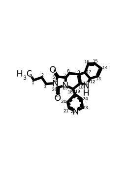 CCCCN1C(=O)C2CC3=C(NC4C=CC=CC34)C(c3ccncc3)N2C1=O